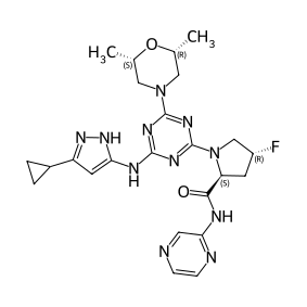 C[C@@H]1CN(c2nc(Nc3cc(C4CC4)n[nH]3)nc(N3C[C@H](F)C[C@H]3C(=O)Nc3cnccn3)n2)C[C@H](C)O1